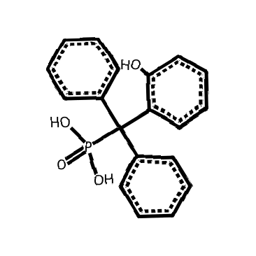 O=P(O)(O)C(c1ccccc1)(c1ccccc1)c1ccccc1O